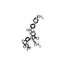 C=CCn1c(=O)c2cnc(Nc3ccc(N4CCN(C)CC4)cc3)nc2n1-c1ccc2c(c1)N(CC(F)(F)F)C(=O)CO2